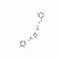 Cc1cccc(CCOCC(=O)NC2=CC(C)(NC(=O)COc3ccc(Cl)c(Cl)c3)C2)c1